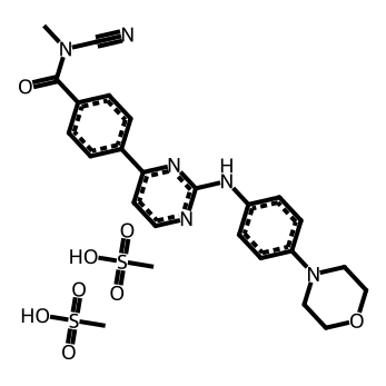 CN(C#N)C(=O)c1ccc(-c2ccnc(Nc3ccc(N4CCOCC4)cc3)n2)cc1.CS(=O)(=O)O.CS(=O)(=O)O